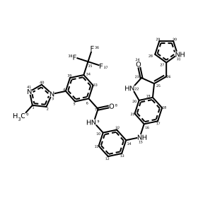 Cc1cn(-c2cc(C(=O)Nc3cccc(Nc4ccc5c(c4)NC(=O)C5=Cc4ccc[nH]4)c3)cc(C(F)(F)F)c2)cn1